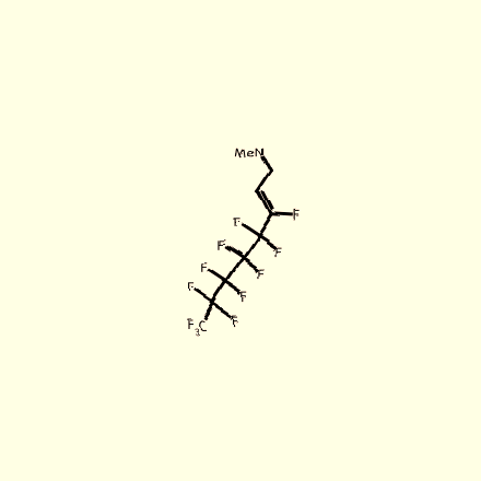 CNCC=C(F)C(F)(F)C(F)(F)C(F)(F)C(F)(F)C(F)(F)F